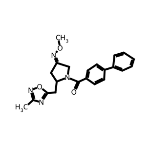 CON=C1CC(Cc2nc(C)no2)N(C(=O)c2ccc(-c3ccccc3)cc2)C1